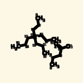 CCCC(=O)[O-].CCC[N+](CCC)(CCC)CCC